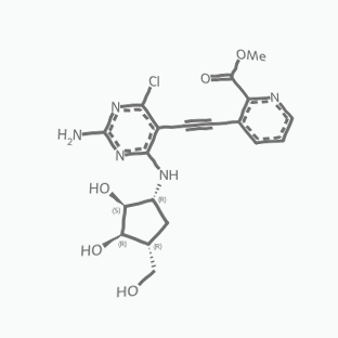 COC(=O)c1ncccc1C#Cc1c(Cl)nc(N)nc1N[C@@H]1C[C@H](CO)[C@@H](O)[C@H]1O